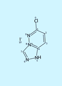 Clc1ccc2[nH]nc[n+]2n1.[I-]